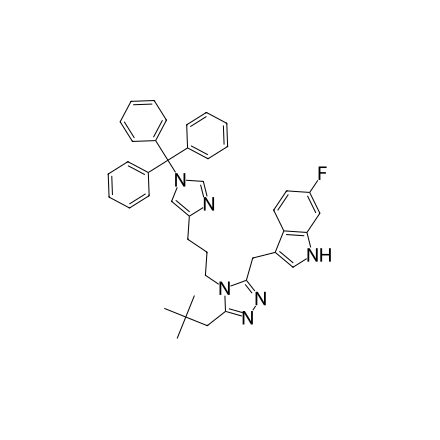 CC(C)(C)Cc1nnc(Cc2c[nH]c3cc(F)ccc23)n1CCCc1cn(C(c2ccccc2)(c2ccccc2)c2ccccc2)cn1